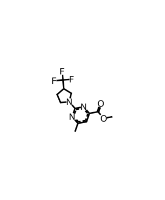 COC(=O)c1cc(C)nc(N2CCC(C(F)(F)F)C2)n1